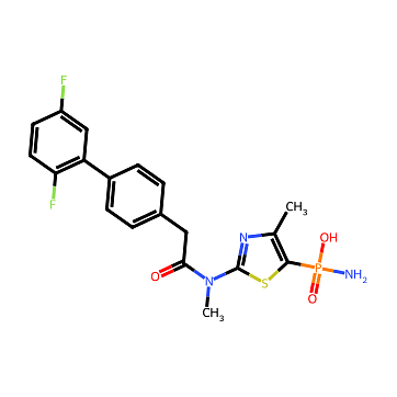 Cc1nc(N(C)C(=O)Cc2ccc(-c3cc(F)ccc3F)cc2)sc1P(N)(=O)O